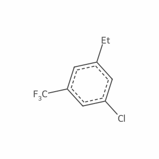 [CH2]Cc1cc(Cl)cc(C(F)(F)F)c1